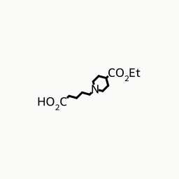 CCOC(=O)C1CCN(CCCCC(=O)O)CC1